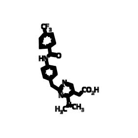 CN(C)c1nc(Cc2ccc(NC(=O)c3ccc(C(F)(F)F)cc3)cc2)ncc1CC(=O)O